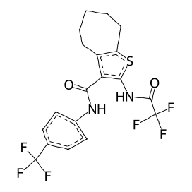 O=C(Nc1ccc(C(F)(F)F)cc1)c1c(NC(=O)C(F)(F)F)sc2c1CCCCC2